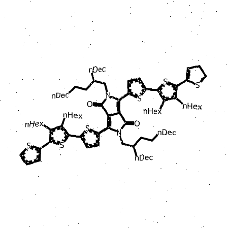 CCCCCCCCCCCCC(CCCCCCCCCC)CN1C(=O)C2=C(c3ccc(-c4sc(-c5cccs5)c(CCCCCC)c4CCCCCC)s3)N(CC(CCCCCCCCCC)CCCCCCCCCCCC)C(=O)C2=C1c1ccc(-c2sc(C3=CCCS3)c(CCCCCC)c2CCCCCC)s1